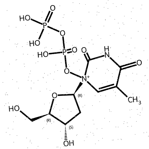 CC1=C[N+](OP(=O)(O)OP(=O)(O)O)([C@H]2C[C@H](O)[C@@H](CO)O2)C(=O)NC1=O